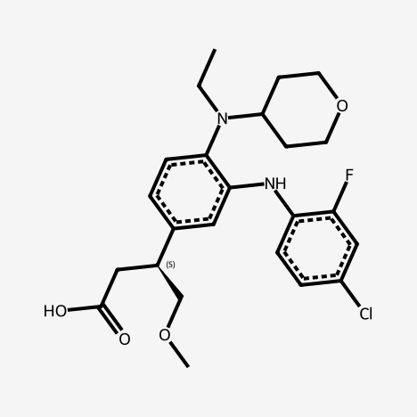 CCN(c1ccc([C@@H](COC)CC(=O)O)cc1Nc1ccc(Cl)cc1F)C1CCOCC1